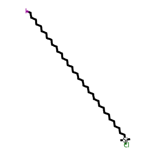 C[Si](C)(Cl)CCCCCCCCCCCCCCCCCCCCCCCCCCCCCCCCCCCCCI